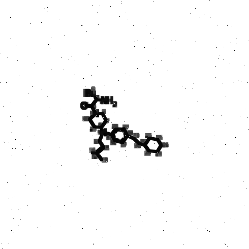 CCC(C)C(N)C(=O)N1CCC(N(CC=C(C)C)c2ccc(CCC3CCCCC3)cc2)CC1